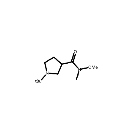 CON(C)C(=O)C1CCN(C(C)(C)C)C1